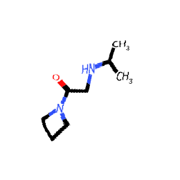 CC(C)NCC(=O)N1CCC1